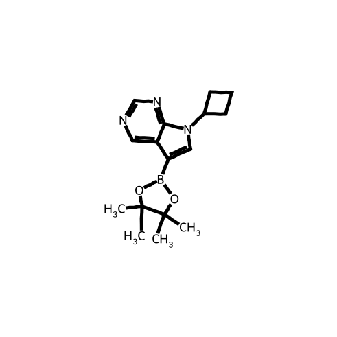 CC1(C)OB(c2cn(C3CCC3)c3ncncc23)OC1(C)C